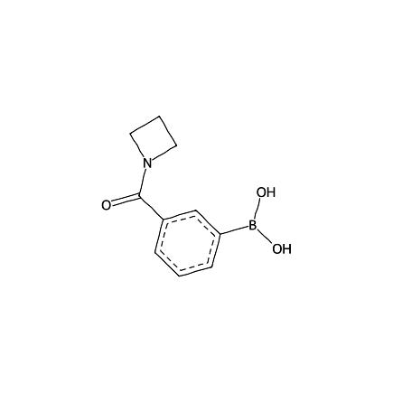 O=C(c1cccc(B(O)O)c1)N1CCC1